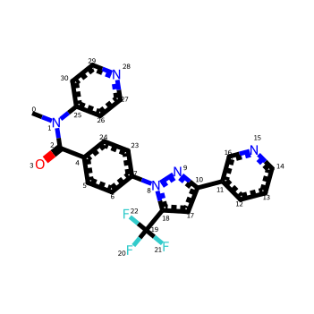 CN(C(=O)c1ccc(-n2nc(-c3cccnc3)cc2C(F)(F)F)cc1)c1ccncc1